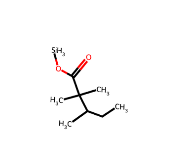 CCC(C)C(C)(C)C(=O)O[SiH3]